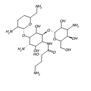 NCC[C@H](O)C(=O)NC1C(O)[C@H](N)C(O[C@H]2OC(CN)CCC2N)C(O)[C@H]1O[C@H]1OC(CO)[C@H](O)C(N)C1O